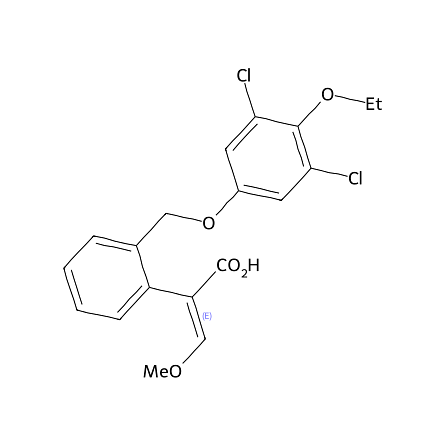 CCOc1c(Cl)cc(OCc2ccccc2/C(=C\OC)C(=O)O)cc1Cl